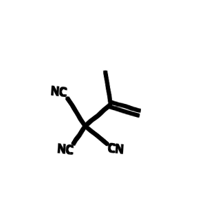 C=C(C)C(C#N)(C#N)C#N